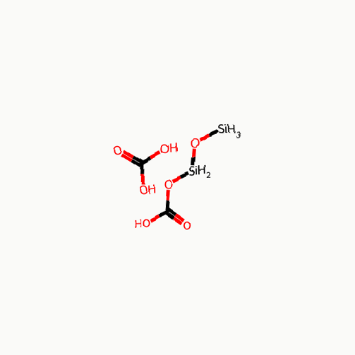 O=C(O)O.O=C(O)O[SiH2]O[SiH3]